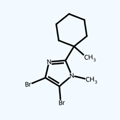 Cn1c(C2(C)CCCCC2)nc(Br)c1Br